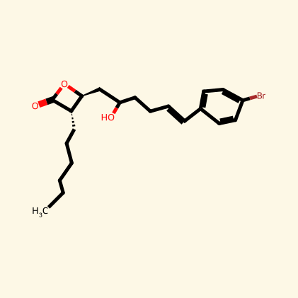 CCCCCC[C@@H]1C(=O)O[C@H]1CC(O)CC/C=C/c1ccc(Br)cc1